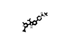 Cc1cc(-c2[nH]c3ccc(C4CCN(C(=O)OC(C)(C)C)CC4)cc3c2C(C)C)cc(C2CC2)n1